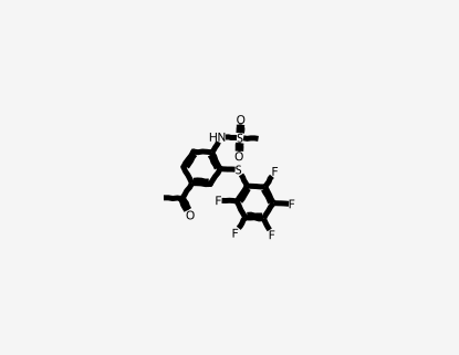 CC(=O)c1ccc(NS(C)(=O)=O)c(Sc2c(F)c(F)c(F)c(F)c2F)c1